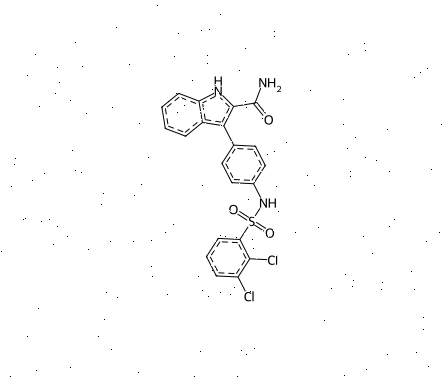 NC(=O)c1[nH]c2ccccc2c1-c1ccc(NS(=O)(=O)c2cccc(Cl)c2Cl)cc1